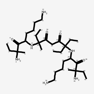 CCC(C)(N)C(=O)C(CCCCN)NC(C)(CC)C(=O)CC(=O)C(CC)(CC)NC(CCCCN)C(=O)C(C)(N)CC